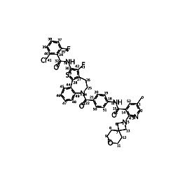 Cc1cnc(N2CC3(CCOCC3)C2)c(C(=O)Nc2ccc(C(=O)N3CCc4c(sc(NC(=O)c5c(F)cccc5Cl)c4F)-c4ccccc43)cc2)c1